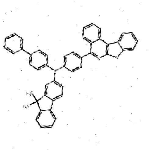 CC1(C)c2ccccc2-c2ccc(N(c3ccc(-c4ccccc4)cc3)c3ccc(-c4nc5sc6ccccc6c5c5ccccc45)cc3)cc21